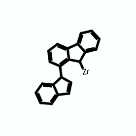 [Zr][CH]1c2ccccc2-c2cccc(C3C=Cc4ccccc43)c21